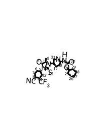 C=C1C(=O)N(c2ccc(C#N)c(C(F)(F)F)c2)C(=S)N1c1ccc(NC(=O)Oc2ccccc2)nc1